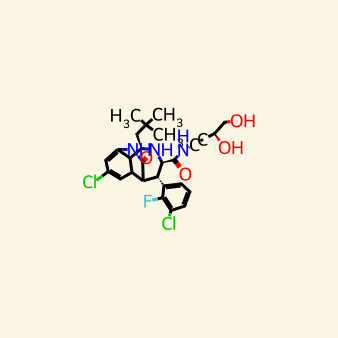 CC(C)(C)C[C@H]1N[C@@H](C(=O)NCC[C@H](O)CO)[C@H](c2cccc(Cl)c2F)C2C(=O)NC3=CC(Cl)=CC2C31